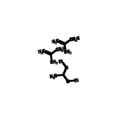 C=C(C)C(=O)O.C=C(C)C(=O)O.CCOC(C)OCC